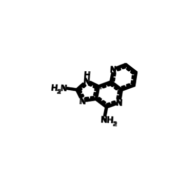 Nc1nc2c(N)nc3cccnc3c2[nH]1